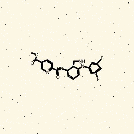 COC(=O)c1ccc(C(=O)NC2C=CC=C3C2CNN3c2cc(F)cc(F)c2)nc1